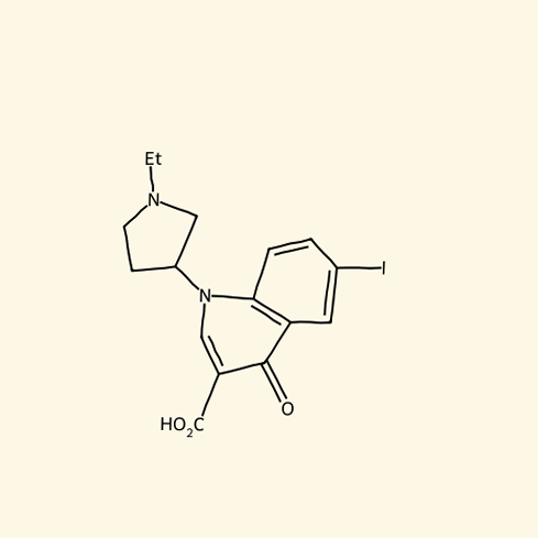 CCN1CCC(n2cc(C(=O)O)c(=O)c3cc(I)ccc32)C1